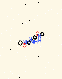 O=C(Nc1ccccc1)c1ccc(-c2nc3cc(C(=O)NC4CCCCCC4)ccc3[nH]2)cc1